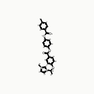 Cc1ccc(C(=O)Oc2ccc(OC(=O)c3ccc(OC(C)[n+]4ccn(C)c4)cc3)cc2)cc1